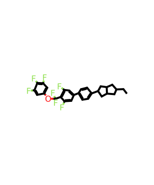 CCC1CC2CC(c3ccc(-c4cc(F)c(C(F)(F)Oc5cc(F)c(F)c(F)c5)c(F)c4)cc3)CC2C1